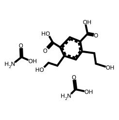 NC(=O)O.NC(=O)O.O=C(O)c1cc(C(=O)O)c(CCO)cc1CCO